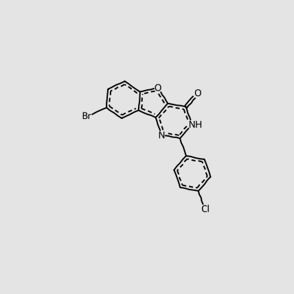 O=c1[nH]c(-c2ccc(Cl)cc2)nc2c1oc1ccc(Br)cc12